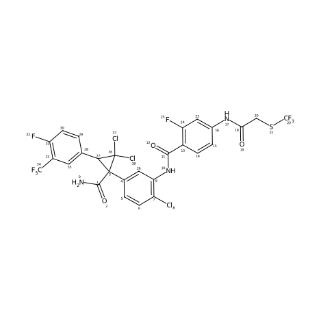 NC(=O)C1(c2ccc(Cl)c(NC(=O)c3ccc(NC(=O)CSC(F)(F)F)cc3F)c2)C(c2ccc(F)c(C(F)(F)F)c2)C1(Cl)Cl